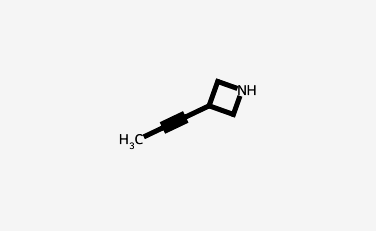 CC#CC1CNC1